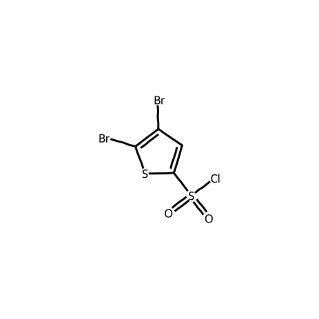 O=S(=O)(Cl)c1cc(Br)c(Br)s1